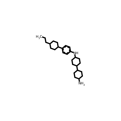 CCCC1CCC(c2ccc(NC3CCC(C4CCC(N)CC4)CC3)cc2)CC1